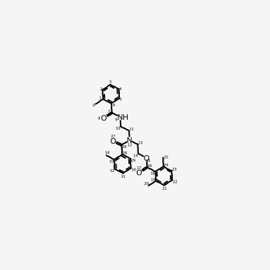 Cc1ccccc1C(=O)NCCN(CCOC(=O)c1c(C)cccc1C)C(=O)c1ccccc1C